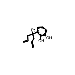 C=CCC(CC)(CC=C)c1cccc(O)c1O